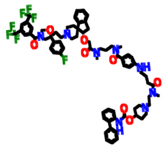 CN(CCN1CCC(OC(=O)Nc2ccccc2-c2ccccc2)CC1)C(=O)CCCNc1ccc(C(=O)N(C)CCCN(C)C(=O)CO[C@H]2Cc3ccccc3C23CCN(CC[C@@]2(c4ccc(F)cc4)CN(C(=O)c4cc(C(F)(F)F)cc(C(F)(F)F)c4)CO2)CC3)cc1